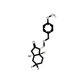 COc1ccc(COC[C@H]2C(=O)C[C@@H]3CC(F)(F)CC[C@H]32)cc1